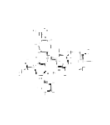 CCN(c1c(C)c(C(N)=O)cc(-c2cccs2)c1Cc1c(C)cc(C)[nH]c1=O)C1CCC(N(C)C)CC1.O=C(O)C(F)(F)F